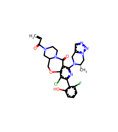 C=CC(=O)N1CCN2C(=O)c3c(N4Cc5cnnn5C[C@@H]4C)nc(-c4c(O)cccc4F)c(Cl)c3OCC2C1